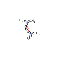 Cc1ccc(N(c2ccc(C)cc2)c2ccc3c(ccc4c5ccc6c7ccc8cc(N(c9ccc(C)cc9)c9ccc(C)cc9)ccc8c7oc6c5oc34)c2)cc1